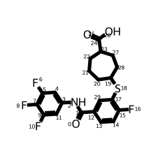 O=C(Nc1cc(F)c(F)c(F)c1)c1ccc(F)c(SC2CCCC(C(=O)O)CC2)c1